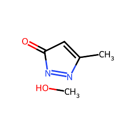 CC1=CC(=O)N=N1.CO